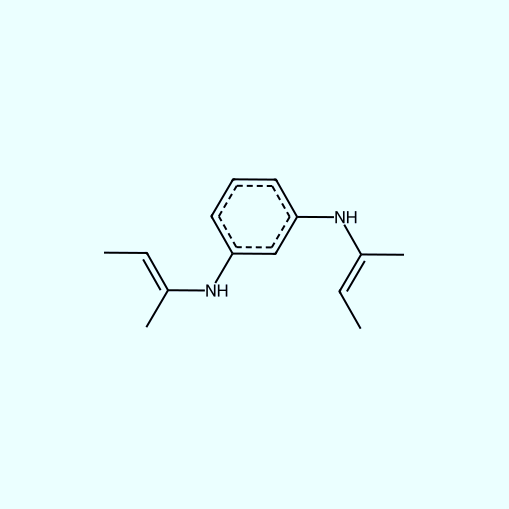 CC=C(C)Nc1cccc(NC(C)=CC)c1